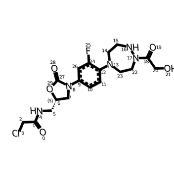 O=C(CCl)NC[C@H]1CN(c2ccc(N3CCNN(C(=O)CO)CC3)c(F)c2)C(=O)O1